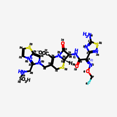 Nc1nc(/C(=N/OCF)C(=O)N[C@@H]2C(=O)N3C(C(=O)[O-])=C(Cn4cc5scc[n+]5c4CNS(=O)(=O)O)CS[C@H]23)ns1